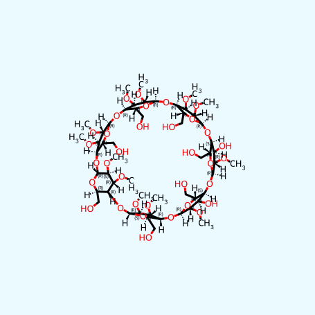 CO[C@H]1[C@H](OC)[C@H]2O[C@H]3[C@@H](OC)[C@H](OC)[C@@H](O[C@H]4[C@@H](OC)[C@H](OC)[C@@H](O[C@H]5[C@@H](OC)[C@H](OC)[C@@H](O[C@H]6[C@@H](OC)[C@H](OC)[C@@H](O[C@H]7[C@@H](O)[C@H](OC)[C@@H](O[C@H]8[C@@H](O)[C@H](OC)[C@@H](O[C@@H]1[C@@H](CO)O2)O[C@@H]8CO)O[C@@H]7CO)O[C@@H]6CO)O[C@@H]5CO)O[C@@H]4CO)O[C@@H]3CO